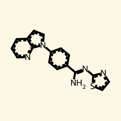 N/C(=N\c1nccs1)c1ccc(-n2ccc3cccnc32)cc1